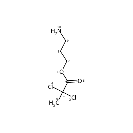 CC(Cl)(Cl)C(=O)OCCCN